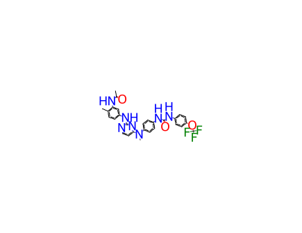 CC(=O)Nc1cc(Nc2nccc(N(C)c3ccc(NC(=O)Nc4ccc(OC(F)(F)F)cc4)cc3)n2)ccc1C